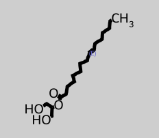 CCCCCC/C=C/CCCCCCCC(=O)OC(CO)CO